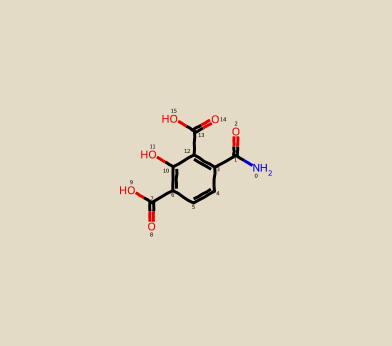 NC(=O)c1ccc(C(=O)O)c(O)c1C(=O)O